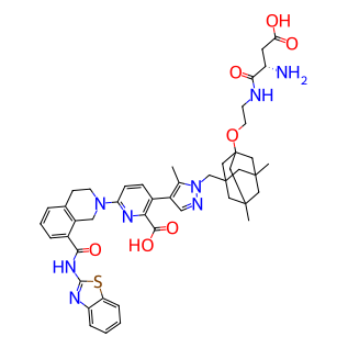 Cc1c(-c2ccc(N3CCc4cccc(C(=O)Nc5nc6ccccc6s5)c4C3)nc2C(=O)O)cnn1CC12CC3(C)CC(C)(C1)CC(OCCNC(=O)[C@@H](N)CC(=O)O)(C3)C2